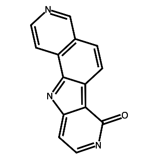 O=C1N=CC=C2N=c3c(ccc4cnccc34)=C12